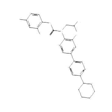 CC1CN(C(=O)Nc2ccc(F)cc2C(F)(F)F)c2ccc(-c3ccc(C4CCCCC4)cc3)cc2O1